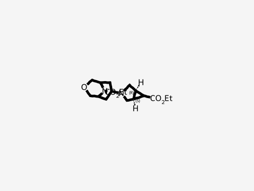 CCOC(=O)C1[C@H]2CN(C3CC4COCC(C3)N4C(=O)OCC)C[C@@H]12